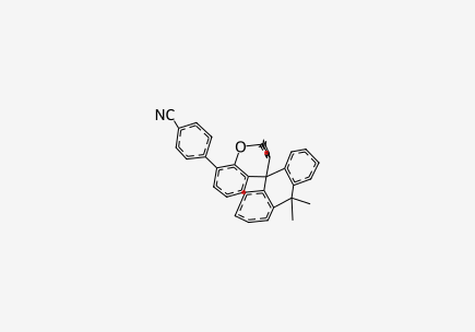 CC1(C)c2ccccc2C2(c3ccccc3Oc3c(-c4ccc(C#N)cc4)cccc32)c2ccccc21